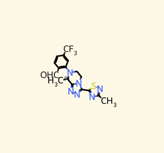 Cc1nsc(-c2nnc3n2CCN(c2cc(C(F)(F)F)ccc2C=O)[C@@H]3C)n1